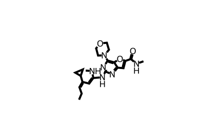 CC/C=C(\C=C(/NC)Nc1nc(N2CCOCC2)c2oc(C(=O)NC)cc2n1)C1CC1